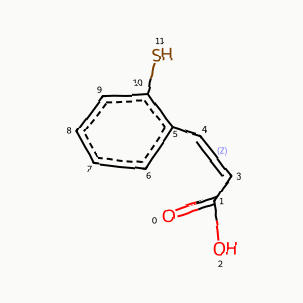 O=C(O)/C=C\c1ccccc1S